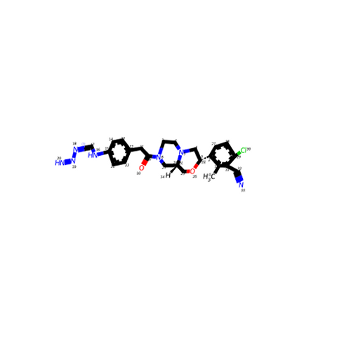 Cc1c([C@H]2CN3CCN(C(=O)Cc4ccc(N/C=N\N=N)cc4)C[C@H]3CO2)ccc(Cl)c1C#N